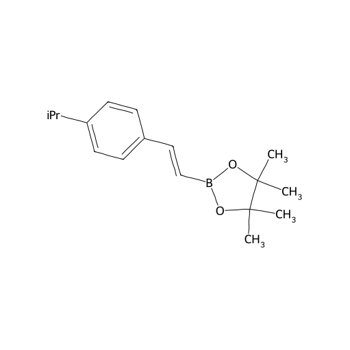 CC(C)c1ccc(/C=C/B2OC(C)(C)C(C)(C)O2)cc1